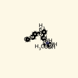 CCO/C(Nc1cccc(-c2cccc(C)c2OCc2ccc3c(c2)CCN(C2CCOC2)C3)n1)=C(/C=N)C(=O)O